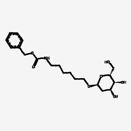 O=C(NCCCCCCO[C@@H]1C[C@H](O)[C@@H](O)[C@@H](CO)O1)OCc1ccccc1